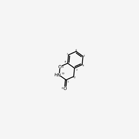 O=C1[C]c2ccccc2ON1